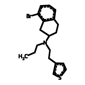 CCCN(CCc1ccsc1)C1CCc2cccc(Br)c2C1